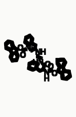 O=C(NCC(Cc1ccccc1)NCCNC(=O)C(Cc1ccccc1)NC(=O)OC1c2ccccc2-c2ccccc21)OC1c2ccccc2-c2ccccc21